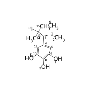 CC(C)C(c1cc(O)c(O)c(O)c1)C(C)(C)I